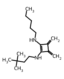 C=C1C(=C)C(NCCC(C)(C)C)=C1NCCCCC